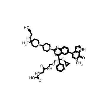 C#CCNC1(C)CCN(C2CCN(c3nc([C@@](COCNC(=O)CNC(=O)O)(OC4CC4)c4ccccc4)c4cc(-c5cn(C)c(=O)c6[nH]ccc56)ccc4n3)CC2)CC1